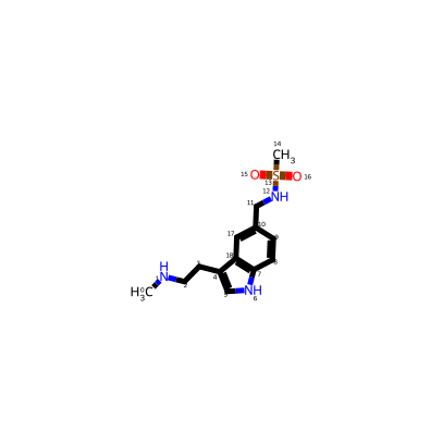 CNCCc1c[nH]c2ccc(CNS(C)(=O)=O)cc12